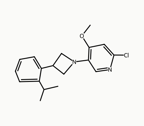 COc1cc(Cl)ncc1N1CC(c2ccccc2C(C)C)C1